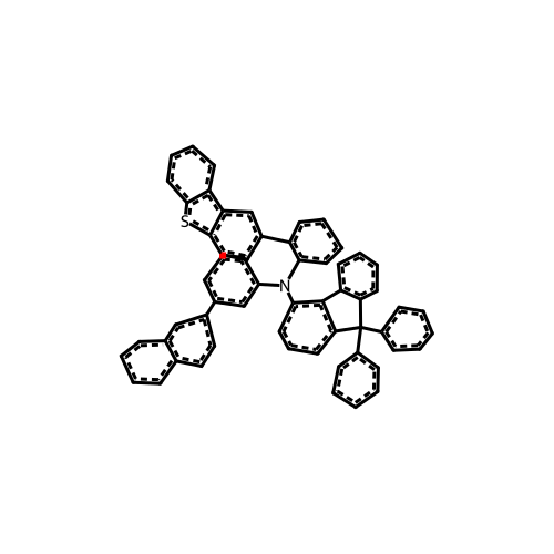 c1ccc(C2(c3ccccc3)c3ccccc3-c3c(N(c4cccc(-c5ccc6ccccc6c5)c4)c4ccccc4-c4ccc5sc6ccccc6c5c4)cccc32)cc1